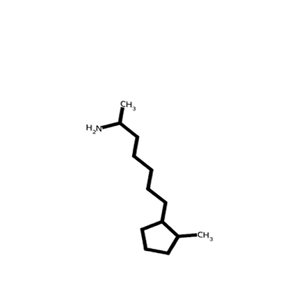 CC(N)CCCCCC1CCCC1C